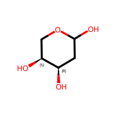 OC1C[C@@H](O)[C@@H](O)CO1